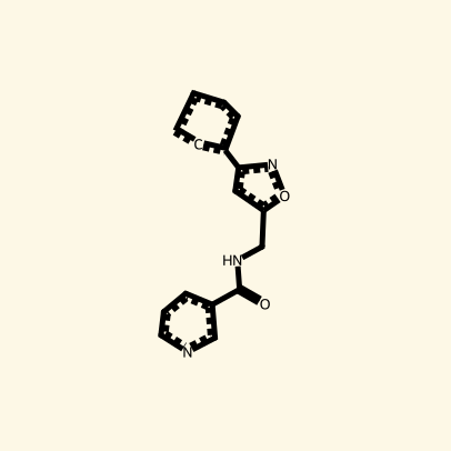 O=C(NCc1cc(-c2ccccc2)no1)c1cccnc1